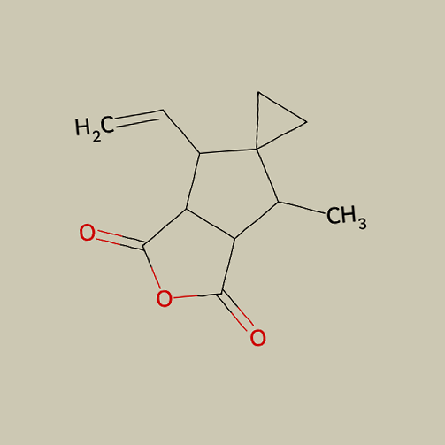 C=CC1C2C(=O)OC(=O)C2C(C)C12CC2